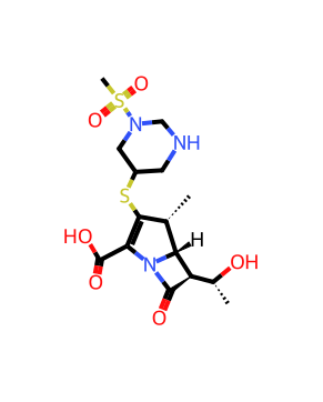 C[C@@H](O)[C@H]1C(=O)N2C(C(=O)O)=C(SC3CNCN(S(C)(=O)=O)C3)[C@H](C)[C@H]12